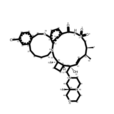 C[C@@H]1CS(=O)(=O)NC(=O)c2ccc3c(c2)N(CCCCc2cc(Cl)ccc2CO3)C[C@@H]2CC[C@H]2[C@](O)(CN2CCN3CCOC[C@@H]3C2)/C=C/[C@@H]1C